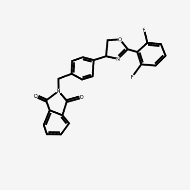 O=C1c2ccccc2C(=O)N1Cc1ccc(C2COC(c3c(F)cccc3F)=N2)cc1